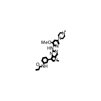 C=CC(=O)Nc1cccc(-c2cn(C)c3cnc(Nc4ncc(N5CCN(C)CC5)cc4OC)nc23)c1